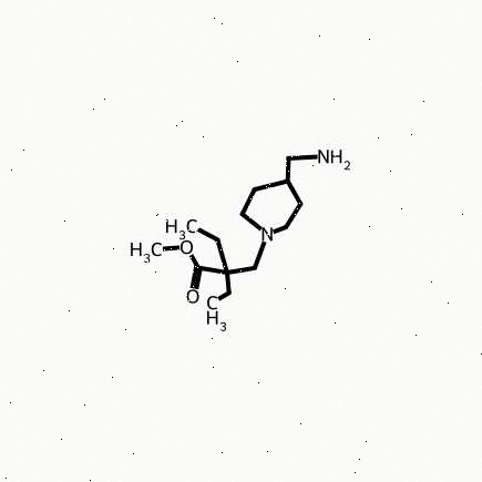 CCC(CC)(CN1CCC(CN)CC1)C(=O)OC